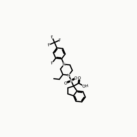 CCC1CN(c2ccc(C(F)(F)F)cc2F)CCN1S(=O)(=O)C1(C(=O)O)CCc2ccccc21